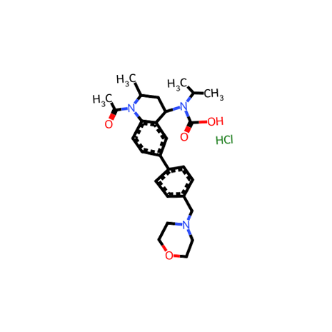 CC(=O)N1c2ccc(-c3ccc(CN4CCOCC4)cc3)cc2C(N(C(=O)O)C(C)C)CC1C.Cl